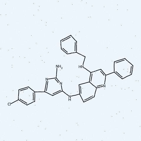 Nc1nc(Nc2ccc3nc(-c4ccccc4)cc(NCc4ccccc4)c3c2)cc(-c2ccc(Cl)cc2)n1